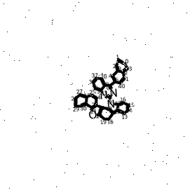 c1ccc2cc(-c3nc(-n4c5c(c6ccccc64)CCc4oc6c(ccc7ccccc76)c4-5)nc4ccccc34)ccc2c1